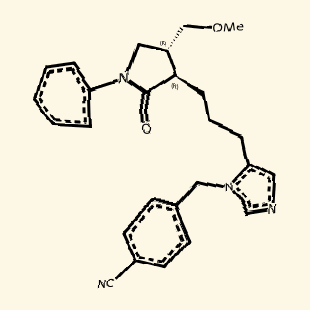 COC[C@H]1CN(c2ccccc2)C(=O)[C@@H]1CCCc1cncn1Cc1ccc(C#N)cc1